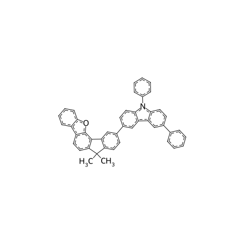 CC1(C)c2ccc(-c3ccc4c(c3)c3cc(-c5ccccc5)ccc3n4-c3ccccc3)cc2-c2c1ccc1c2oc2ccccc21